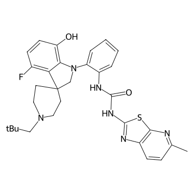 Cc1ccc2nc(NC(=O)Nc3ccccc3N3CC4(CCN(CC(C)(C)C)CC4)c4c(F)ccc(O)c43)sc2n1